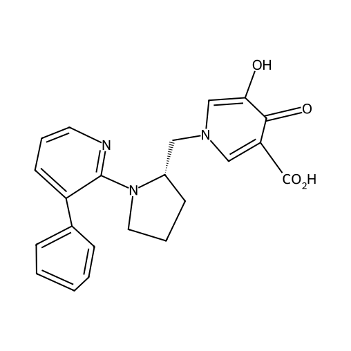 O=C(O)c1cn(C[C@@H]2CCCN2c2ncccc2-c2ccccc2)cc(O)c1=O